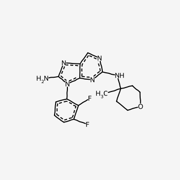 CC1(Nc2ncc3nc(N)n(-c4cccc(F)c4F)c3n2)CCOCC1